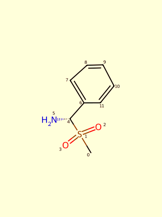 CS(=O)(=O)[C@H](N)c1ccccc1